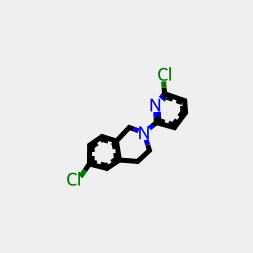 Clc1ccc2c(c1)CCN(c1cccc(Cl)n1)C2